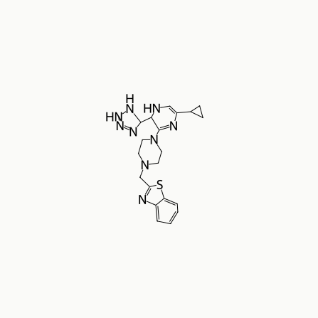 C1=C(C2CC2)N=C(N2CCN(Cc3nc4ccccc4s3)CC2)C(C2N=NNN2)N1